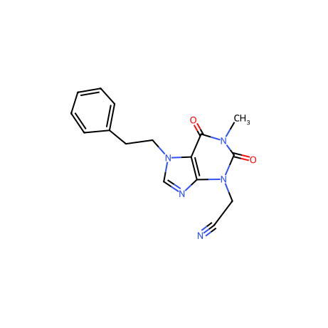 Cn1c(=O)c2c(ncn2CCc2ccccc2)n(CC#N)c1=O